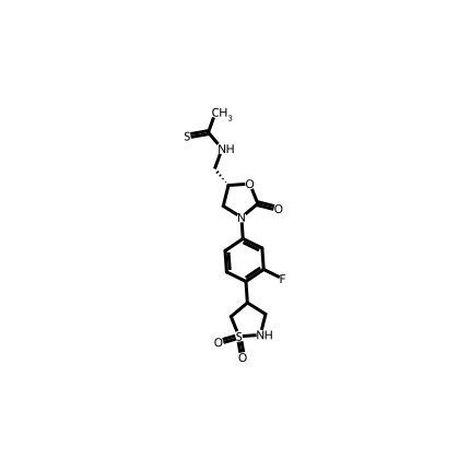 CC(=S)NC[C@H]1CN(c2ccc(C3CNS(=O)(=O)C3)c(F)c2)C(=O)O1